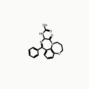 O=C(O)NC1N=C(c2ccccc2)c2cccc3c2N(CCCO3)C1=O